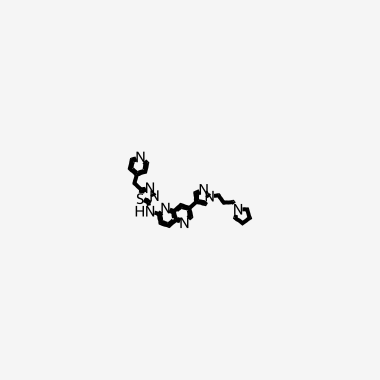 c1cc(Cc2nnc(Nc3ccc4ncc(-c5cnn(CCCN6CCCC6)c5)cc4n3)s2)ccn1